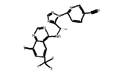 C[C@H](Nc1ncnc2c(I)cc(C(F)(F)F)cc12)c1ncnn1-c1ccc(C#N)cn1